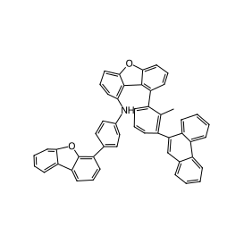 Cc1c(-c2cc3ccccc3c3ccccc23)cccc1-c1cccc2oc3cccc(Nc4ccc(-c5cccc6c5oc5ccccc56)cc4)c3c12